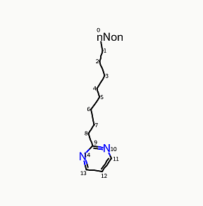 CCCCCCCCCCCCCCCCCc1ncccn1